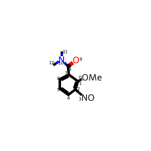 COc1c(N=O)cccc1C(=O)N(C)C